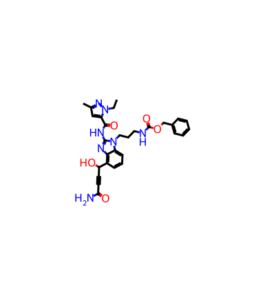 CCn1nc(C)cc1C(=O)Nc1nc2c(C(O)C#CC(N)=O)cccc2n1CCCNC(=O)OCc1ccccc1